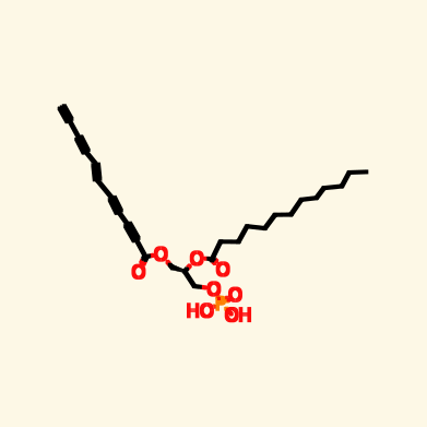 C#CC#CC#CC#CC#CC(=O)OC[C@H](COP(=O)(O)O)OC(=O)CCCCCCCCCCCC